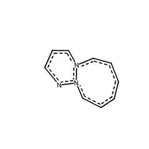 c1cccn2ncccn2cc1